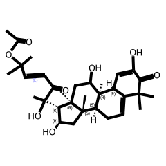 CC(=O)OC(C)(C)/C=C/C(=O)C(C)(O)[C@H]1[C@H](O)C[C@@]2(C)[C@@H]3CC=C4[C@@H](C=C(O)C(=O)C4(C)C)[C@]3(C)C(O)C[C@]12C